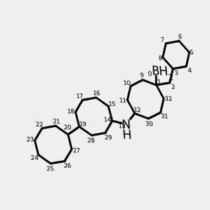 BC1(CC2CCCCC2)CCCC(NC2CCCCC(C3CCCCCCC3)CC2)CCC1